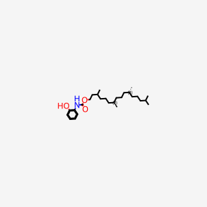 CC(C)CCC[C@@H](C)CCC[C@@H](C)CCCC(C)CCOC(=O)Nc1ccccc1O